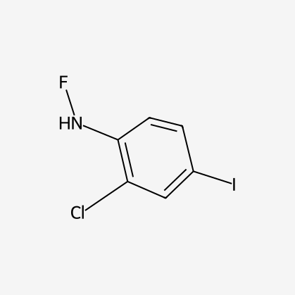 FNc1ccc(I)cc1Cl